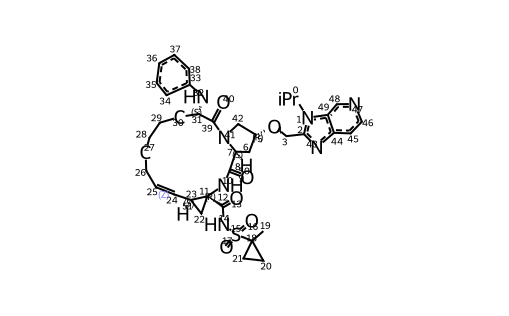 CC(C)n1c(CO[C@@H]2C[C@H]3C(=O)N[C@]4(C(=O)NS(=O)(=O)C5(C)CC5)C[C@H]4/C=C\CCCCC[C@H](Nc4ccccc4)C(=O)N3C2)nc2ccncc21